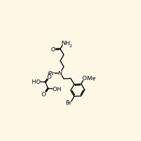 COc1ccc(Br)cc1CCN(CCCC(N)=O)C(C)C.O=C(O)C(=O)O